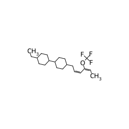 C/C=C(\C=C/CC1CCC(C2CCC(CC)CC2)CC1)OC(F)(F)F